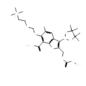 COC(=O)c1c(OCOCC[Si](C)(C)C)c(Cl)cc2c(B3OC(C)(C)C(C)(C)O3)c(CNC(=O)OC(C)(C)C)oc12